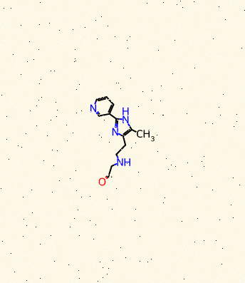 Cc1[nH]c(-c2cccnc2)nc1CCNC[C]=O